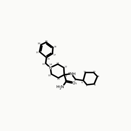 NC(=O)C1(NCC2CCCCC2)CCN(Cc2ccccc2)CC1